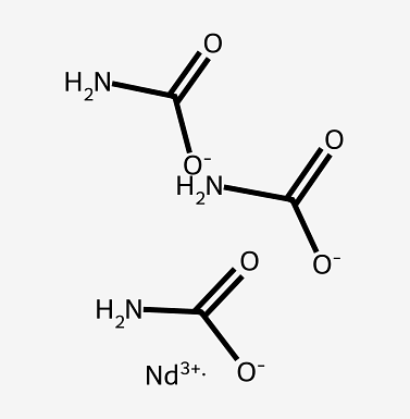 NC(=O)[O-].NC(=O)[O-].NC(=O)[O-].[Nd+3]